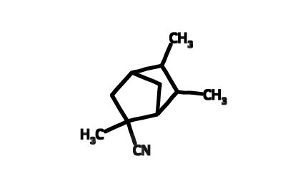 CC1C2CC(C1C)C(C)(C#N)C2